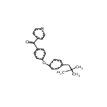 CC(C)(C)Cc1ccc(Oc2ccc(C(=O)c3ccncc3)cc2)cc1